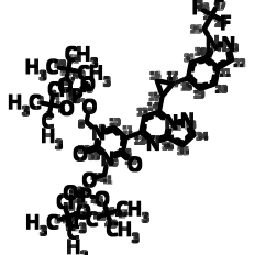 CC(C)(C)OP(=O)(OCn1cc(-c2cc(C3C[C@H]3c3ccc4cnn(CC(F)(F)F)c4c3)n3nccc3n2)c(=O)n(COP(=O)(OC(C)(C)C)OC(C)(C)C)c1=O)OC(C)(C)C